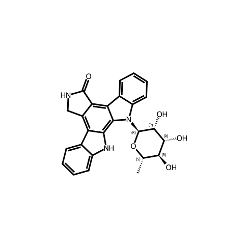 C[C@@H]1O[C@@H](n2c3ccccc3c3c4c(c5c6ccccc6[nH]c5c32)CNC4=O)[C@H](O)[C@H](O)[C@H]1O